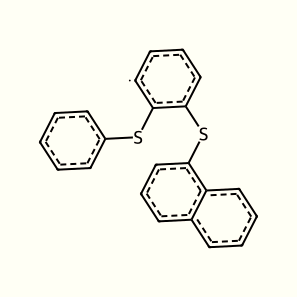 [c]1cccc(Sc2cccc3ccccc23)c1Sc1ccccc1